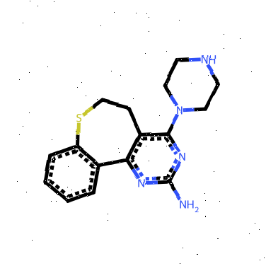 Nc1nc2c(c(N3CCNCC3)n1)CCSc1ccccc1-2